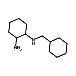 NC1CCCCC1NCC1CCCCC1